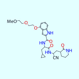 COCCOCCOc1cccc2[nH]c(C(=O)NC(CC3CC3)C(=O)NC(C#N)CC3CCCNC3=O)cc12